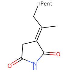 CCCCCC/C(C)=C1\CC(=O)NC1=O